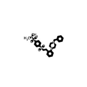 CN(C)S(=O)(=O)c1ccc(S(=O)(=O)CCc2ccccc2N2CCN(Cc3ccccc3)CC2)cc1